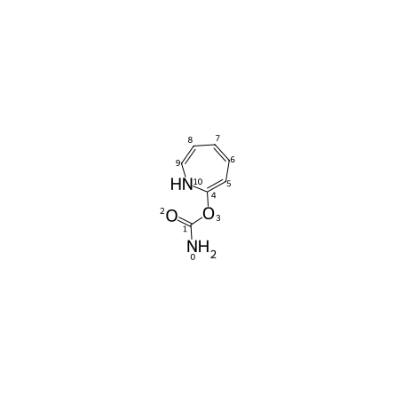 NC(=O)OC1=CC=CC=CN1